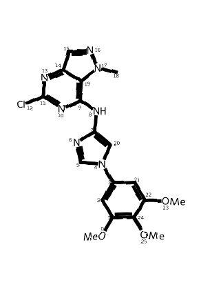 COc1cc(-n2cnc(Nc3nc(Cl)nc4cnn(C)c34)c2)cc(OC)c1OC